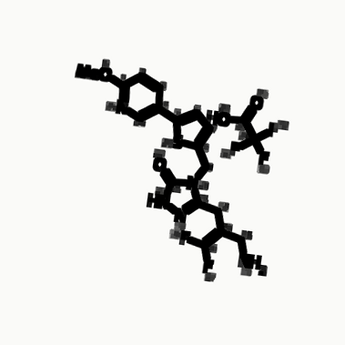 COc1ccc(-c2ccc(Cn3c(CC(CN)=C(F)F)n[nH]c3=O)s2)cn1.O=C(O)C(F)(F)F